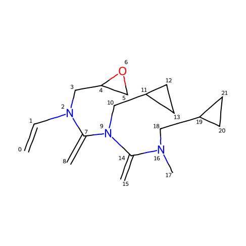 C=CN(CC1CO1)C(=C)N(CC1CC1)C(=C)N(C)CC1CC1